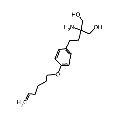 C=CCCCCOc1ccc(CCC(N)(CO)CO)cc1